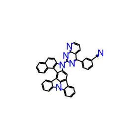 N#Cc1cccc(-c2nc(-n3c4ccc5ccccc5c4c4c5c6ccccc6n6c7ccccc7c(cc43)c56)nc3ncccc23)c1